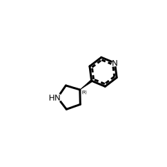 c1cc([C@H]2CCNC2)ccn1